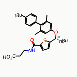 CCCC[C@@H](Oc1cc(C)c(-c2ccc(C(C)(C)C)cc2)c(C)c1)c1ccc(C(=O)NCCC(=O)O)s1